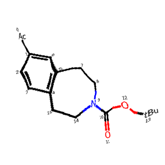 CC(=O)c1ccc2c(c1)CCN(C(=O)OC(C)(C)C)CC2